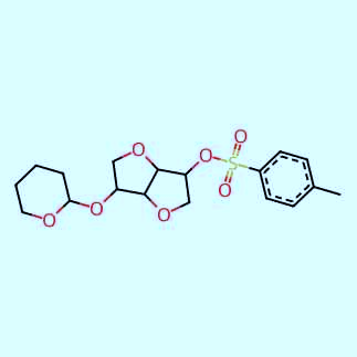 Cc1ccc(S(=O)(=O)OC2COC3C(OC4CCCCO4)COC23)cc1